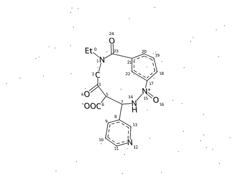 CCN1CC(=O)C(C(=O)[O-])C(c2cccnc2)N[N+](=O)c2cccc(c2)C1=O